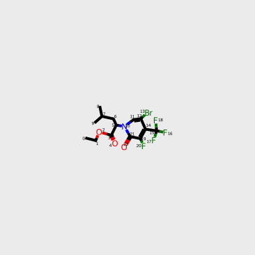 CCOC(=O)C(CC(C)C)n1cc(Br)c(C(F)(F)F)c(F)c1=O